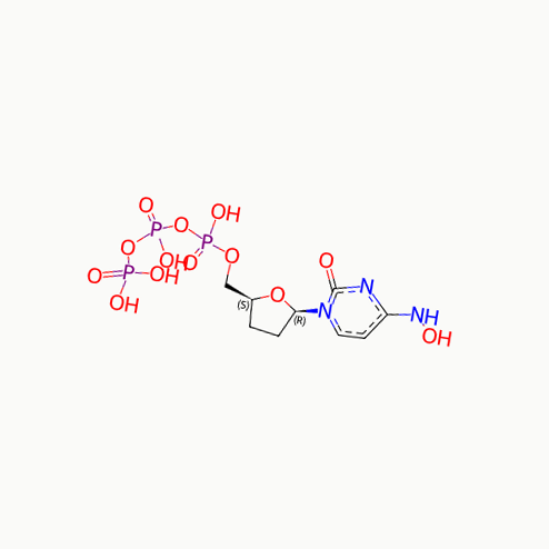 O=c1nc(NO)ccn1[C@H]1CC[C@@H](COP(=O)(O)OP(=O)(O)OP(=O)(O)O)O1